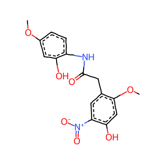 COc1ccc(NC(=O)Cc2cc([N+](=O)[O-])c(O)cc2OC)c(O)c1